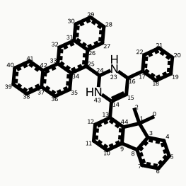 CC1(C)c2ccccc2-c2cccc(C3=CC(c4ccccc4)NC(c4c5ccccc5cc5c4ccc4ccccc45)N3)c21